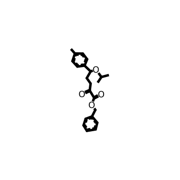 Cc1ccc(C(CCC(=O)C(=O)OCc2ccccc2)OC(C)C)cc1